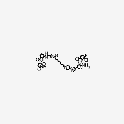 C[C@H](Oc1cc(-c2cnn(C3CCN(CCCCCCCC(=O)N4CC(CNc5cccc6c5CN(C5CCC(=O)NC5=O)C6=O)C4)CC3)c2)cnc1N)c1c(Cl)ccc(F)c1Cl